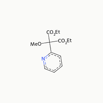 CCOC(=O)C(OC)(C(=O)OCC)c1ccccn1